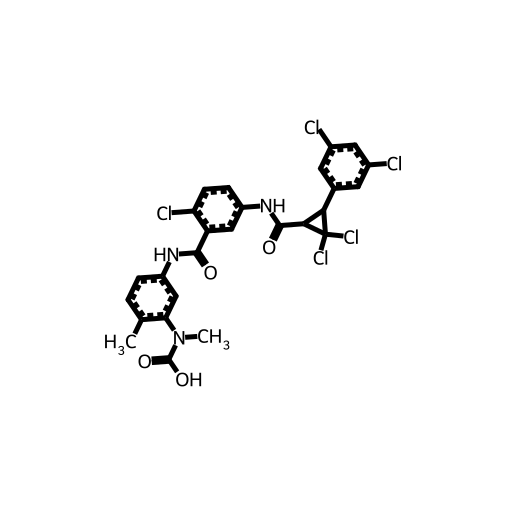 Cc1ccc(NC(=O)c2cc(NC(=O)C3C(c4cc(Cl)cc(Cl)c4)C3(Cl)Cl)ccc2Cl)cc1N(C)C(=O)O